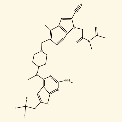 C=C(C)N(C)C(=C)Cn1c(C#N)cc2c(C)c(CN3CCC(N(C)c4nc(NC)nc5sc(CC(F)(F)F)cc45)CC3)ccc21